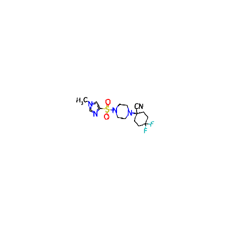 Cn1cnc(S(=O)(=O)N2CCN(C3(C#N)CCC(F)(F)CC3)CC2)c1